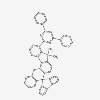 CC1(C)c2ccc3c(c2-c2cccc(-c4nc(-c5ccccc5)nc(-c5ccccc5)n4)c21)Oc1ccccc1C31c2ccccc2-c2ccccc21